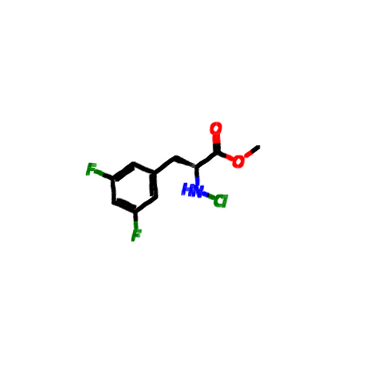 COC(=O)[C@H](Cc1cc(F)cc(F)c1)NCl